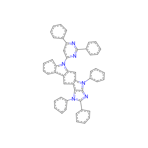 c1ccc(-c2cc(-n3c4ccccc4c4cc5c6c(nc(-c7ccccc7)n6-c6ccccc6)n(-c6ccccc6)c5cc43)nc(-c3ccccc3)n2)cc1